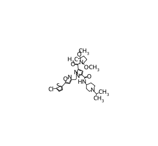 CO[C@@H]1CC[C@@](C)(OC)N1C(=O)c1cc(C(=O)NC2CCN(C(C)C)CC2)n(Cc2cc(-c3ccc(Cl)s3)on2)n1